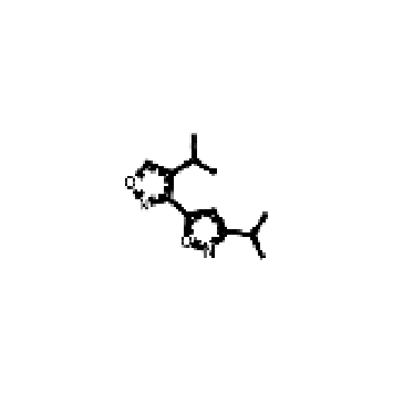 CC(C)c1cc(-c2nocc2C(C)C)on1